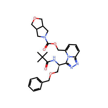 CC(C)(C)C(=O)N[C@H](COCc1ccccc1)c1nnc2cccc(COC(=O)N3CC4COCC4C3)n12